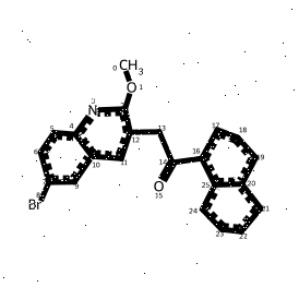 COc1nc2ccc(Br)cc2cc1CC(=O)c1cccc2ccccc12